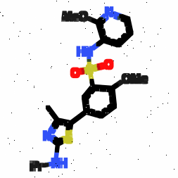 COc1ccc(-c2sc(NC(C)C)nc2C)cc1S(=O)(=O)Nc1cccnc1OC